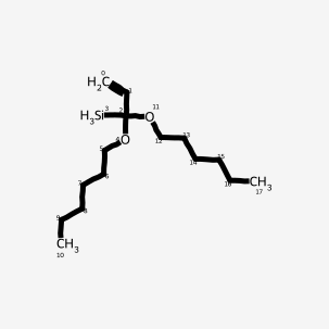 C=CC([SiH3])(OCCCCCC)OCCCCCC